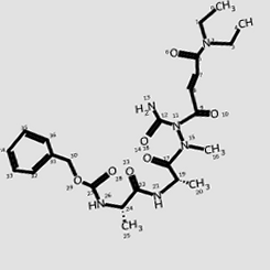 CCN(CC)C(=O)/C=C/C(=O)N(C(N)=O)N(C)C(=O)[C@H](C)NC(=O)[C@H](C)NC(=O)OCc1ccccc1